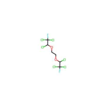 FC(Cl)(Cl)C(Cl)OCCOC(Cl)C(F)(Cl)Cl